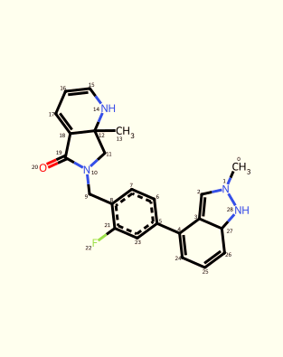 CN1C=C2C(c3ccc(CN4CC5(C)NC=CC=C5C4=O)c(F)c3)=CC=CC2N1